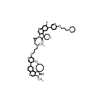 CCC1CCCCC2(CC1)C(=O)N(C)c1cnc3ccc(-c4ccc(OCCCN(C)CC5CC5N5C(=O)C6(CCOCC6)c6c5cnc5cc(F)c(-c7ccc(OCCCN8CCCCC8)nc7)cc65)nc4)cc3c12